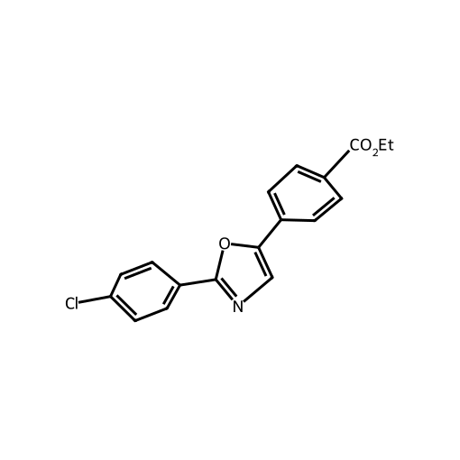 CCOC(=O)c1ccc(-c2cnc(-c3ccc(Cl)cc3)o2)cc1